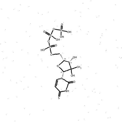 CC1(O)[C@@H](O)[C@@H](COP(=O)(O)OP(=O)(O)OP(=O)(O)O)O[C@H]1n1ccc(=S)[nH]c1=O